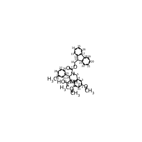 COc1cc(CN(C(=O)OCC2c3ccccc3-c3ccccc32)C(c2cccc(C)c2)[C@H](N)[C@@H](C)O)cc(OC)c1